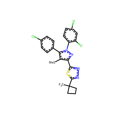 CSc1c(-c2nnc(C3(C(F)(F)F)CCC3)s2)nn(-c2ccc(Cl)cc2Cl)c1-c1ccc(Cl)cc1